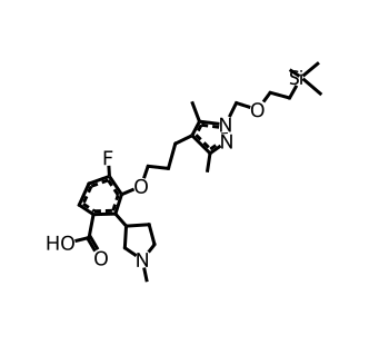 Cc1nn(COCC[Si](C)(C)C)c(C)c1CCCOc1c(F)ccc(C(=O)O)c1C1CCN(C)C1